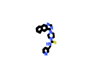 S=C(NCc1cccnc1)N1CCN(c2ncnc3cc4ccccc4cc23)CC1